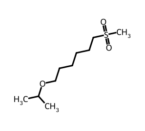 CC(C)OCCCCCCS(C)(=O)=O